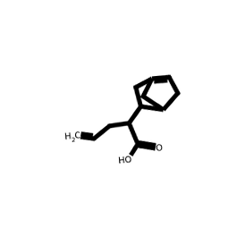 C=CCC(C(=O)O)C1CC2=CCC1C2